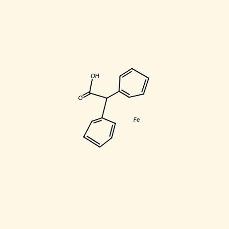 O=C(O)C(c1ccccc1)c1ccccc1.[Fe]